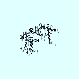 C[C@H](NC(=O)[C@@H](NC(=O)[C@@H](N)CCCCN)[C@@H](O)CN)C(=O)NCC(=O)N[C@H](CCCN)C(=O)N1CCC[C@H]1C(=O)N[C@@H](Cc1cncn1C)C(=O)N[C@@H](CCCCN)C(=O)N/C(=C\CCNC(=N)N)C(=O)O